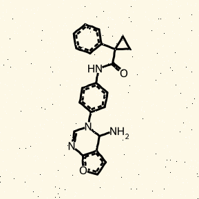 NC1c2ccoc2N=CN1c1ccc(NC(=O)C2(c3ccccc3)CC2)cc1